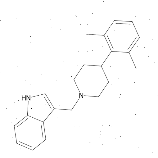 Cc1cccc(C)c1C1CCN(Cc2c[nH]c3ccccc23)CC1